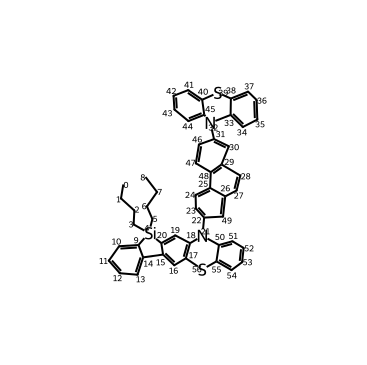 CCCC[Si]1(CCCC)c2ccccc2-c2cc3c(cc21)N(c1ccc2c(ccc4cc(N5c6ccccc6Sc6ccccc65)ccc42)c1)c1ccccc1S3